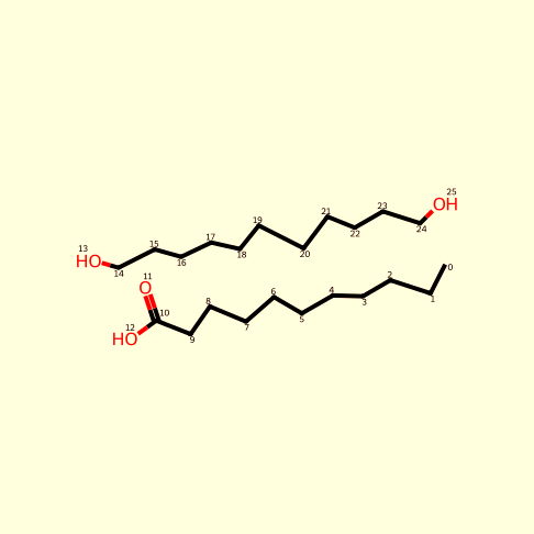 CCCCCCCCCCC(=O)O.OCCCCCCCCCCCO